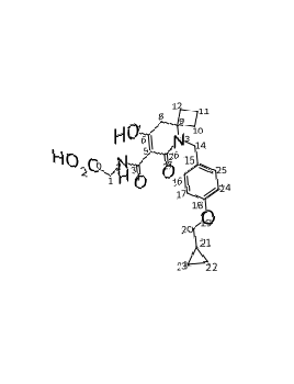 O=C(O)CNC(=O)C1=C(O)CC2(CCC2)N(Cc2ccc(OCC3CC3)cc2)C1=O